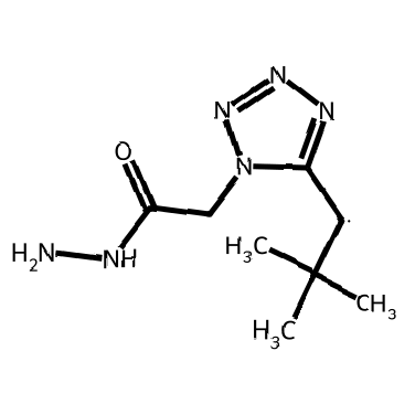 CC(C)(C)[CH]c1nnnn1CC(=O)NN